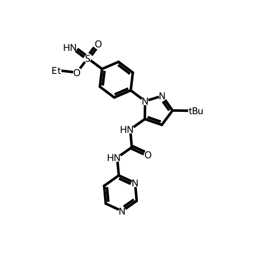 CCOS(=N)(=O)c1ccc(-n2nc(C(C)(C)C)cc2NC(=O)Nc2ccncn2)cc1